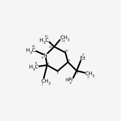 CCCC(C)(CC)C1CC(C)(C)N(C)C(C)(C)C1